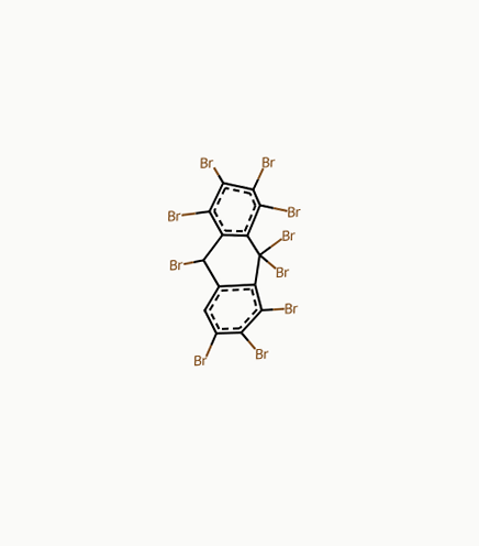 Brc1cc2c(c(Br)c1Br)C(Br)(Br)c1c(Br)c(Br)c(Br)c(Br)c1C2Br